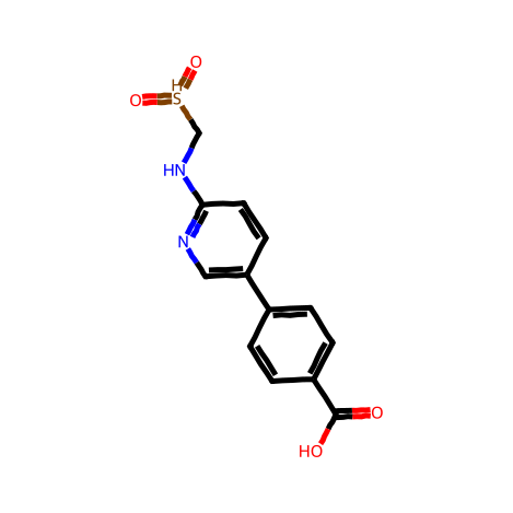 O=C(O)c1ccc(-c2ccc(NC[SH](=O)=O)nc2)cc1